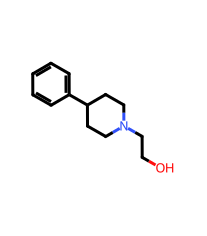 OCCN1CCC(c2ccccc2)CC1